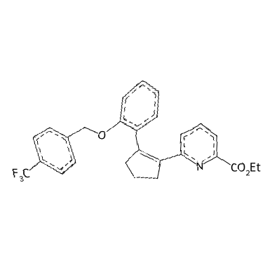 CCOC(=O)c1cccc(C2=C(c3ccccc3OCc3ccc(C(F)(F)F)cc3)CCC2)n1